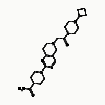 NC(=O)C1CCN(c2ncc3c(n2)CCN(CC(=O)N2CCN(C4CCC4)CC2)C3)CC1